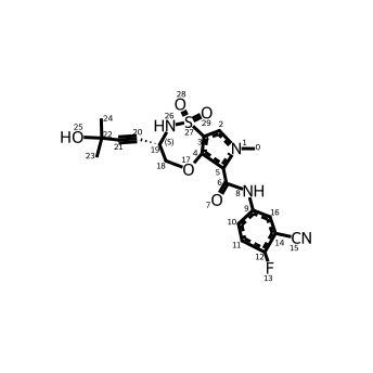 Cn1cc2c(c1C(=O)Nc1ccc(F)c(C#N)c1)OC[C@H](C#CC(C)(C)O)NS2(=O)=O